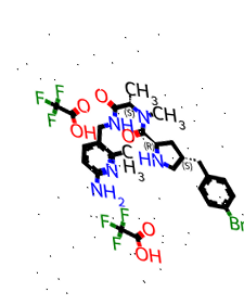 Cc1nc(N)ccc1CNC(=O)[C@H](C)N(C)C(=O)[C@H]1C[C@H](Cc2ccc(Br)cc2)CN1.O=C(O)C(F)(F)F.O=C(O)C(F)(F)F